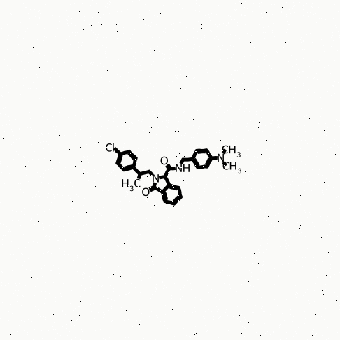 CC(CN1C(=O)c2ccccc2C1C(=O)NCc1ccc(N(C)C)cc1)c1ccc(Cl)cc1